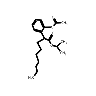 CCCCCCCC(C(=O)OC(C)C)c1ccccc1OC(C)=O